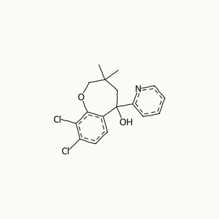 CC1(C)COc2c(ccc(Cl)c2Cl)C(O)(c2ccccn2)C1